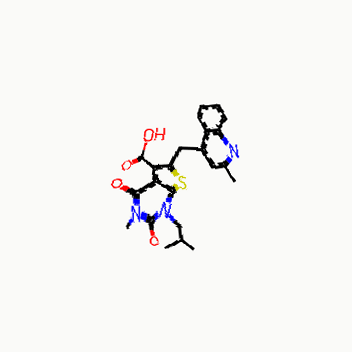 Cc1cc(Cc2sc3c(c2C(=O)O)c(=O)n(C)c(=O)n3CC(C)C)c2ccccc2n1